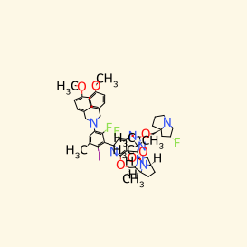 COc1ccc(CN(Cc2ccc(OC)cc2)c2cc(C)c(I)c(-c3nc4c5c(nc(OC[C@@]67CCCN6C[C@H](F)C7)nc5c3F)N3C[C@H]5CC[C@@H]([C@H]3[C@H](C)O4)N5C(=O)OC(C)(C)C)c2F)cc1